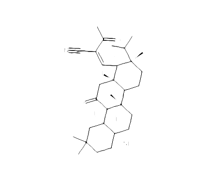 CC(=O)/C(C#N)=C\[C@]1(C)[C@H]2CC(=O)[C@@H]3[C@@H]4CC(C)(C)CC[C@]4(N)CC[C@@]3(C)[C@]2(C)CC[C@@]1(C)C(C)C